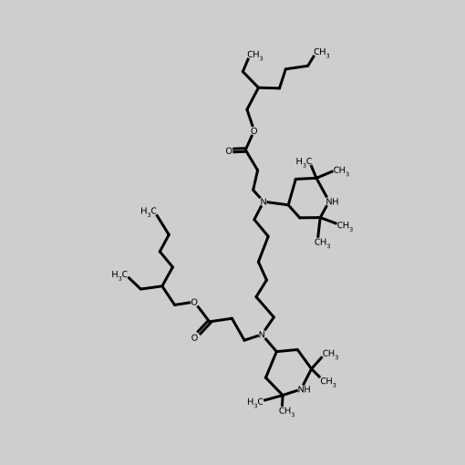 CCCCC(CC)COC(=O)CCN(CCCCCCN(CCC(=O)OCC(CC)CCCC)C1CC(C)(C)NC(C)(C)C1)C1CC(C)(C)NC(C)(C)C1